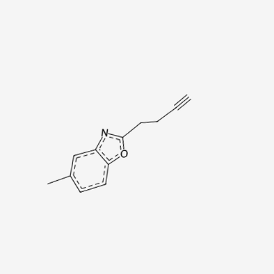 C#CCCc1nc2cc(C)ccc2o1